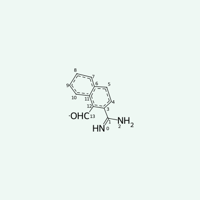 N=C(N)c1ccc2ccccc2c1[C]=O